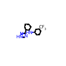 FC(F)(F)c1cccc(Nc2ccccc2-c2nc[nH]n2)c1